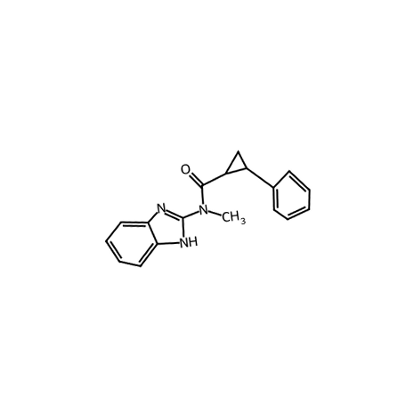 CN(C(=O)C1CC1c1ccccc1)c1nc2ccccc2[nH]1